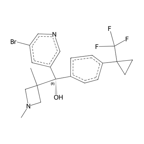 CN1CC(C)([C@](O)(c2ccc(C3(C(F)(F)F)CC3)cc2)c2cncc(Br)c2)C1